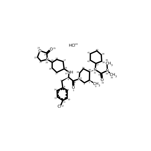 C[C@H]1CN(C(=O)[C@@H](Cc2ccc(Cl)cc2)NC2CCC(N3CCOC3=O)CC2)CC[C@@H]1N(C(=O)N(C)C)C1CCCCC1.Cl